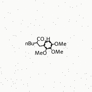 CCCCC(Cc1ccc(OC)c(OC)c1OC)C(=O)O